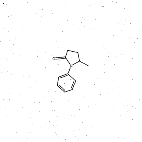 CC1CCC(=O)N1c1ccccc1